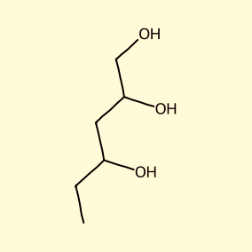 CCC(O)CC(O)CO